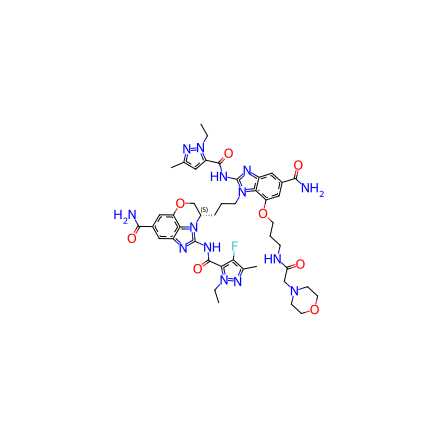 CCn1nc(C)cc1C(=O)Nc1nc2cc(C(N)=O)cc(OCCCNC(=O)CN3CCOCC3)c2n1CCC[C@H]1COc2cc(C(N)=O)cc3nc(NC(=O)c4c(F)c(C)nn4CC)n1c23